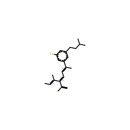 C=C(C)C(=C/C=C(\C)c1cc(F)cc(CCC(C)C)c1)/C(C)=C/C